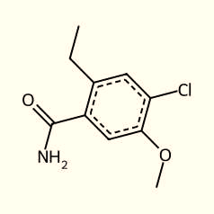 CCc1cc(Cl)c(OC)cc1C(N)=O